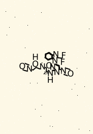 C[C@H](Nc1nc(N2CCOCC2)cc(-n2c(C(F)F)nc3ccccc32)n1)C(=O)N(C)CC(O)CN1CCOCC1